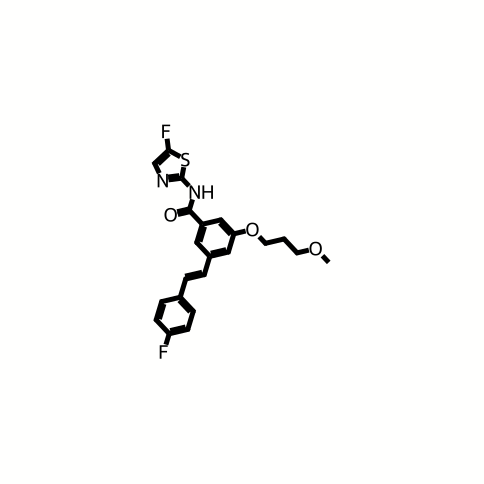 COCCCOc1cc(/C=C/c2ccc(F)cc2)cc(C(=O)Nc2ncc(F)s2)c1